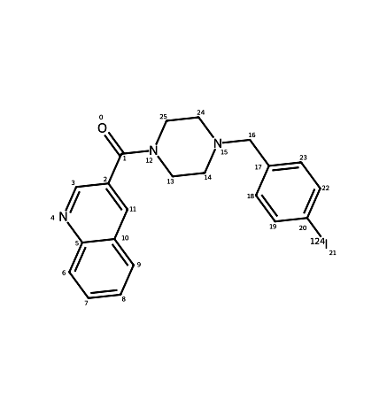 O=C(c1cnc2ccccc2c1)N1CCN(Cc2ccc([124I])cc2)CC1